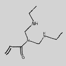 C=CC(=O)N(CNCC)CNCC